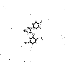 Cc1ccc(C#N)cc1Oc1c[nH]nc1-c1ccc(F)cn1